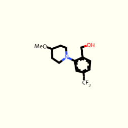 COC1CCN(c2cc(C(F)(F)F)ccc2CO)CC1